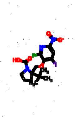 CC(C)(C)C1(COc2c(I)cc([N+](=O)[O-])nc2F)CCCN1C(=O)O